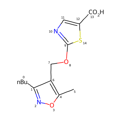 CCCCc1noc(C)c1COc1ncc(C(=O)O)s1